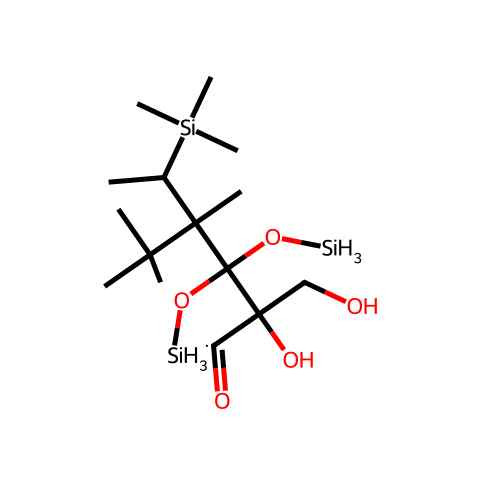 CC(C(C)(C(C)(C)C)C(O[SiH3])(O[SiH3])C(O)([C]=O)CO)[Si](C)(C)C